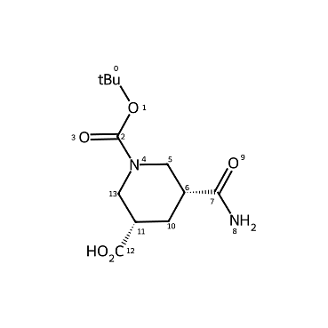 CC(C)(C)OC(=O)N1C[C@H](C(N)=O)C[C@H](C(=O)O)C1